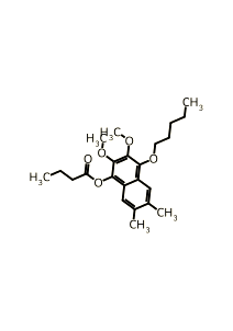 CCCCCOc1c(OC)c(OC)c(OC(=O)CCC)c2cc(C)c(C)cc12